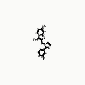 CCc1c(Cn2ccnc2-c2cccc(F)c2)nc2cc(C#N)ccn12